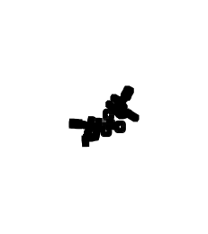 C#CC(C)(C)C(C)(/C=C/C)O[PH](=O)OC(C)(/C=C/C)C(C)(C)C#C